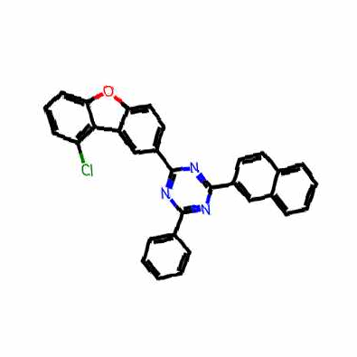 Clc1cccc2oc3ccc(-c4nc(-c5ccccc5)nc(-c5ccc6ccccc6c5)n4)cc3c12